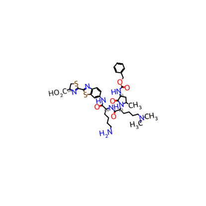 CC1C[C@H](NC(=O)OCc2ccccc2)C(=O)N1[C@@H](CCCCN(C)C)C(=O)N[C@@H](CCCCN)C(=O)Nc1ccc2nc(C3=N[C@@H](C(=O)O)CS3)sc2c1